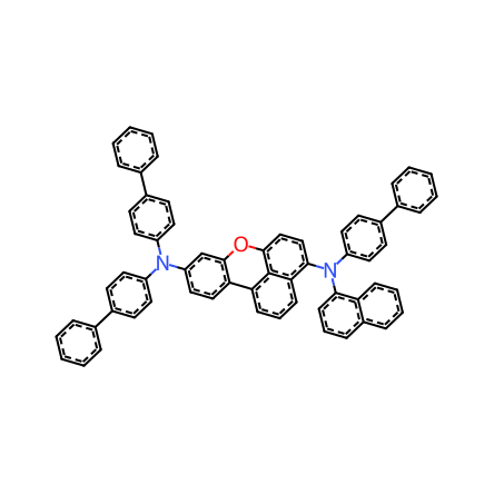 c1ccc(-c2ccc(N(c3ccc(-c4ccccc4)cc3)c3ccc4c(c3)Oc3ccc(N(c5ccc(-c6ccccc6)cc5)c5cccc6ccccc56)c5cccc-4c35)cc2)cc1